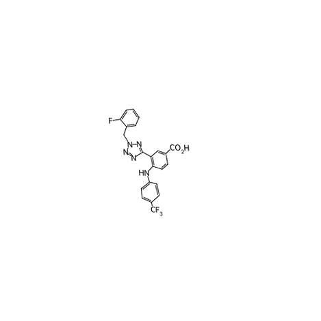 O=C(O)c1ccc(Nc2ccc(C(F)(F)F)cc2)c(-c2nnn(Cc3ccccc3F)n2)c1